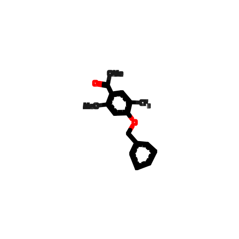 COC(=O)c1cc(C(F)(F)F)c(OCc2ccccc2)cc1OC